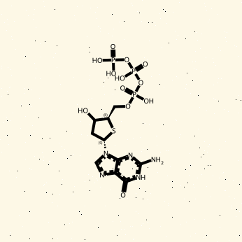 Nc1nc2c(ncn2[C@@H]2CC(O)[C@@H](COP(=O)(O)OP(=O)(O)OP(=O)(O)O)S2)c(=O)[nH]1